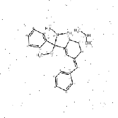 CNC.COC(C1=CC(=Cc2ccccc2)CCC1)(c1ccccc1)N(C)C